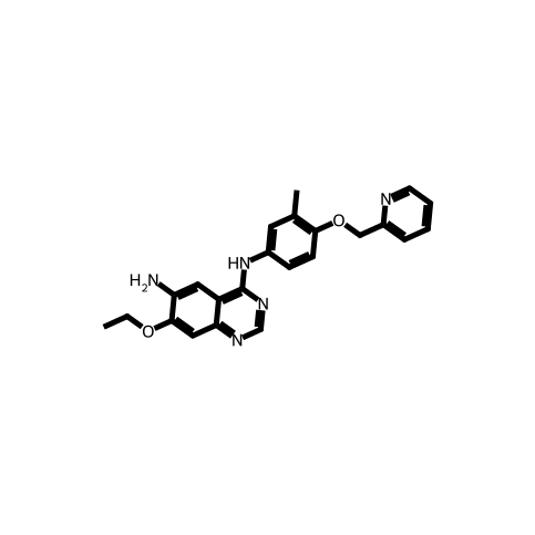 CCOc1cc2ncnc(Nc3ccc(OCc4ccccn4)c(C)c3)c2cc1N